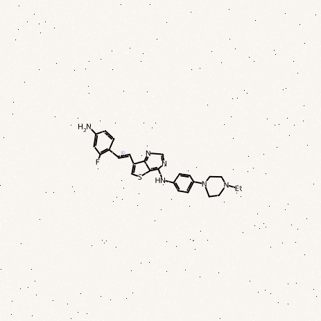 CCN1CCN(c2ccc(Nc3ncnc4c(/C=C/c5ccc(N)cc5F)csc34)cc2)CC1